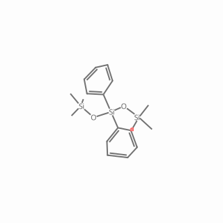 C[Si](C)(C)O[Si](O[Si](C)(C)C)(c1ccccc1)c1ccccc1